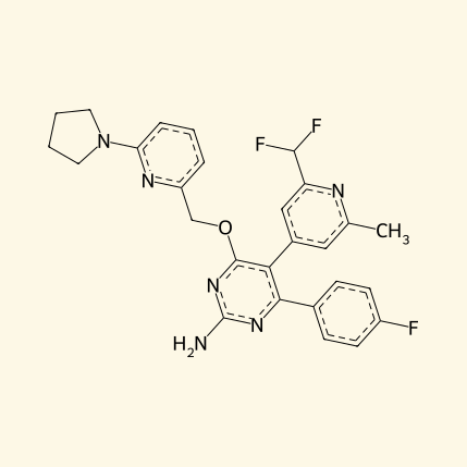 Cc1cc(-c2c(OCc3cccc(N4CCCC4)n3)nc(N)nc2-c2ccc(F)cc2)cc(C(F)F)n1